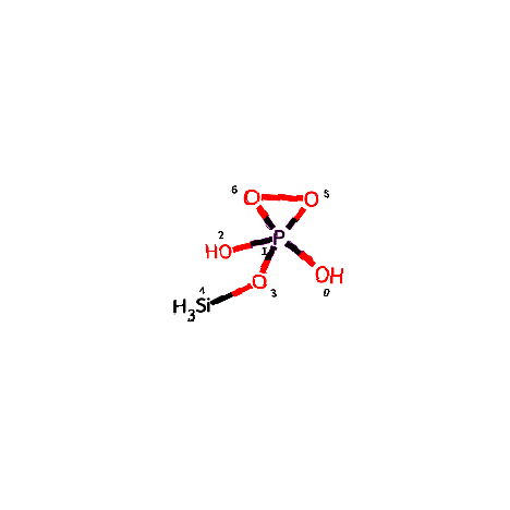 OP1(O)(O[SiH3])OO1